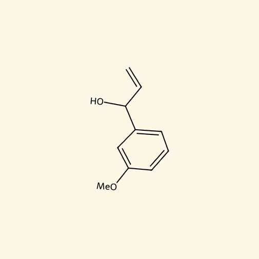 C=CC(O)c1cccc(OC)c1